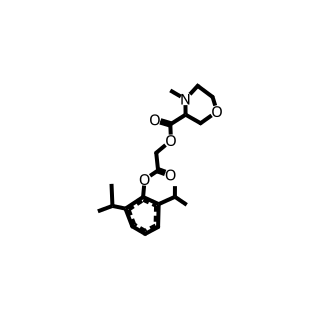 CC(C)c1cccc(C(C)C)c1OC(=O)COC(=O)C1COCCN1C